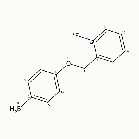 Bc1ccc(OCc2ccccc2F)cc1